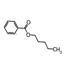 CCCCCOC(=O)c1[c]cccc1